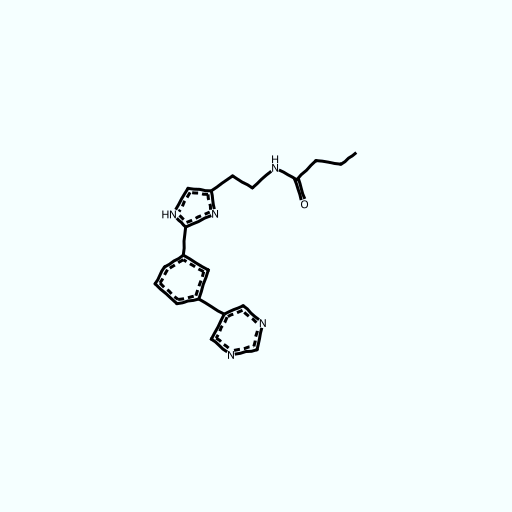 CCCC(=O)NCCc1c[nH]c(-c2cccc(-c3cncnc3)c2)n1